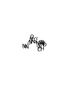 Cc1cc([C@@H](C)Nc2ccc(Cl)nc2C(=O)NS(C)(=O)=O)c2nc(N3CCC(c4cnc(C)cn4)CC3)n(C)c(=O)c2c1